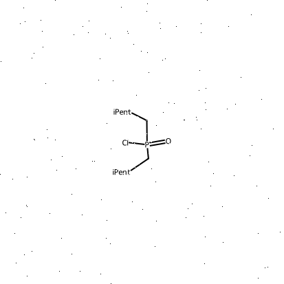 CCCC(C)CP(=O)(Cl)CC(C)CCC